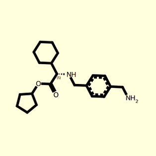 NCc1ccc(CN[C@H](C(=O)OC2CCCC2)C2CCCCC2)cc1